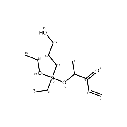 C=CC(=O)C(C)O[Si](CC)(CCCO)OCC